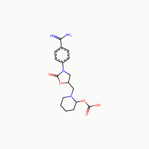 N=C(N)c1ccc(N2CC(CN3CCCCC3OC(=O)O)OC2=O)cc1